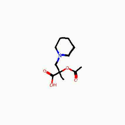 CC(=O)OC(C)(CN1CCCCC1)C(=O)O